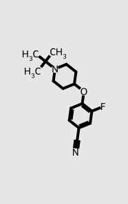 CC(C)(C)N1CCC(Oc2ccc(C#N)cc2F)CC1